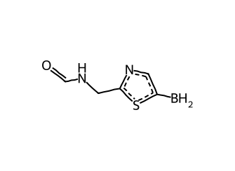 Bc1cnc(CNC=O)s1